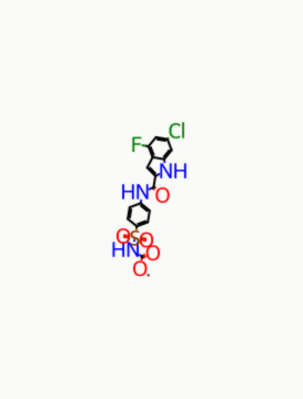 COC(=O)NS(=O)(=O)c1ccc(NC(=O)c2cc3c(F)cc(Cl)cc3[nH]2)cc1